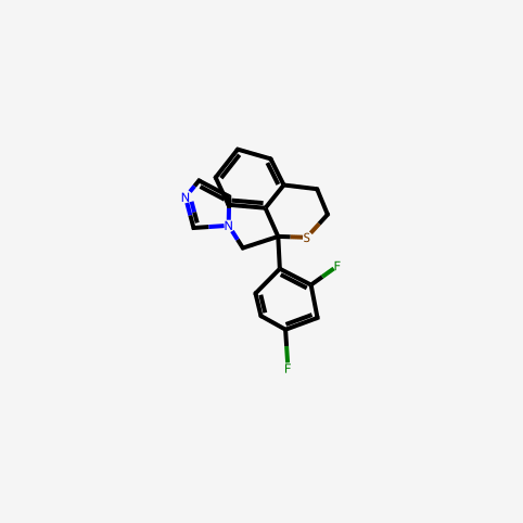 Fc1ccc(C2(Cn3ccnc3)SCCc3ccccc32)c(F)c1